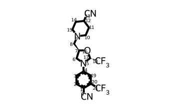 N#Cc1ccc(N2C[C@@H](CN3CCC(C#N)CC3)O[C@@H]2C(F)(F)F)cc1C(F)(F)F